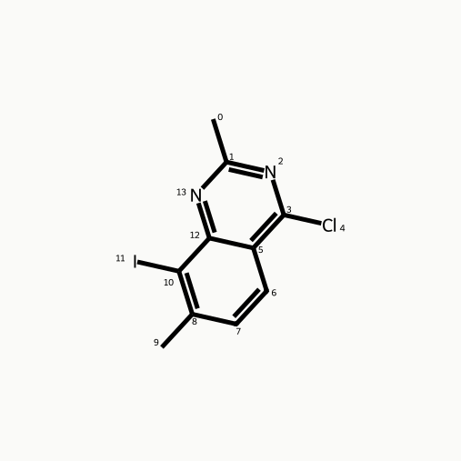 Cc1nc(Cl)c2ccc(C)c(I)c2n1